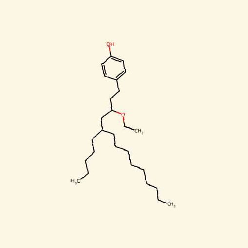 CCCCCCCCCC(CCCCC)CC(CCc1ccc(O)cc1)OCC